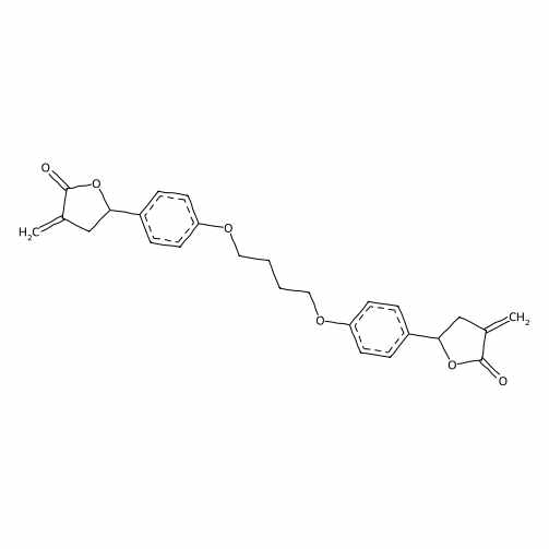 C=C1CC(c2ccc(OCCCCOc3ccc(C4CC(=C)C(=O)O4)cc3)cc2)OC1=O